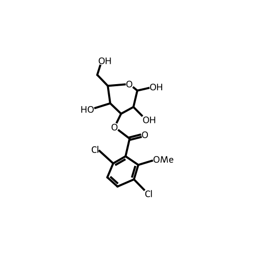 COc1c(Cl)ccc(Cl)c1C(=O)OC1C(O)C(O)OC(CO)C1O